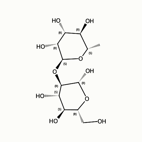 C[C@@H]1O[C@@H](O[C@@H]2[C@@H](O)[C@H](O)[C@@H](CO)O[C@H]2O)[C@H](O)[C@H](O)[C@H]1O